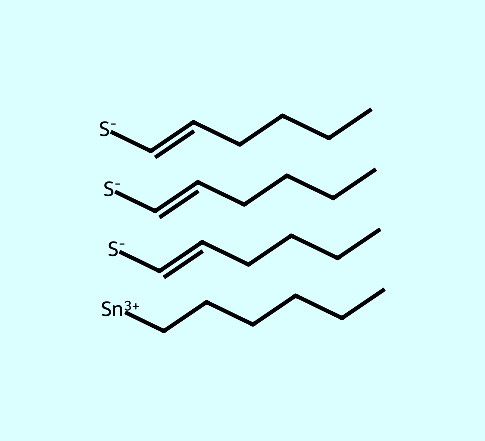 CCCCC=C[S-].CCCCC=C[S-].CCCCC=C[S-].CCCCC[CH2][Sn+3]